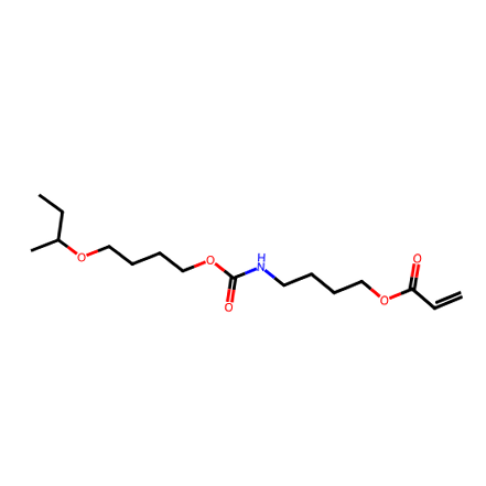 C=CC(=O)OCCCCNC(=O)OCCCCOC(C)CC